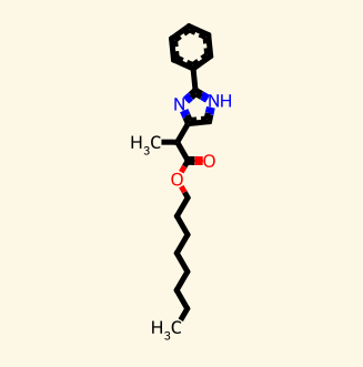 CCCCCCCCOC(=O)C(C)c1c[nH]c(-c2ccccc2)n1